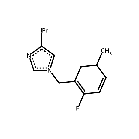 CC1C=CC(F)=C(Cn2cnc(C(C)C)c2)C1